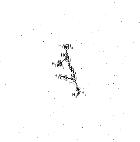 CC(C)CCOC(=O)CCCCC(O)CN(CCCC(=O)OCCN1CCN(CCSSCCCCN(CC(O)CCCCC(=O)OC(C)C)CC(O)CCCCC(=O)OC(C)C)CC1)CC(O)CCCCC(=O)OCCC(C)C